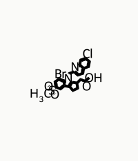 CS(=O)(=O)c1cc(Br)c2c(c1)c1c(n2Cc2ccc3ccc(Cl)cc3n2)C(CC(=O)O)CC1